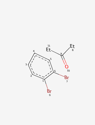 Brc1ccccc1Br.CCC(=O)CC